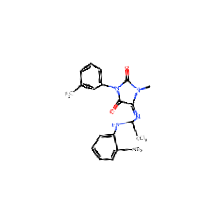 CN1C(=O)N(c2cccc(C(F)(F)F)c2)C(=O)C1=NC(Nc1ccccc1[N+](=O)[O-])C(Cl)(Cl)Cl